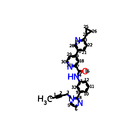 CC#CCn1ccnc1-c1cccc(NC(=O)c2cc(-c3ccc(C4CC4)nc3)ccn2)c1